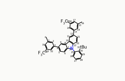 Cc1cc(-c2ccc3c(c2)c2cc(-c4cc(C)cc(C(F)(F)F)c4)ccc2n3-c2ccccc2C(C)(C)C)cc(C(F)(F)F)c1